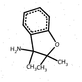 CC1(C)Oc2ccccc2C1(C)N